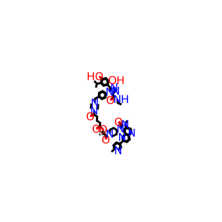 CCNC(=O)c1nnc(-c2cc(C(C)C)c(O)cc2O)n1-c1ccc(CN2CCN(C(=O)CCCC(=O)O[C@@H](C)C(=O)N3CCC(n4c(=O)n(C)c5cnc6ccc(-c7ccc(C)nc7)nc6c54)CC3)CC2)cc1